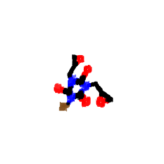 O=c1n(Br)c(=O)n(CC2CO2)c(=O)n1CC1CO1